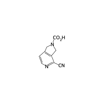 N#Cc1nccc2c1CN(C(=O)O)C2